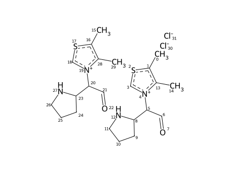 Cc1sc[n+](C(C=O)C2CCCN2)c1C.Cc1sc[n+](C(C=O)C2CCCN2)c1C.[Cl-].[Cl-]